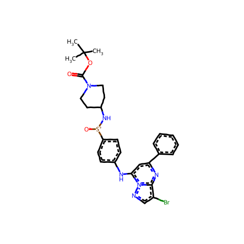 CC(C)(C)OC(=O)N1CCC(N[S+]([O-])c2ccc(Nc3cc(-c4ccccc4)nc4c(Br)cnn34)cc2)CC1